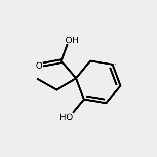 CCC1(C(=O)O)C[C]=CC=C1O